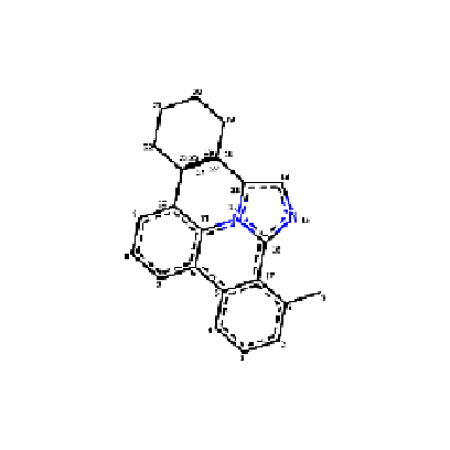 Cc1cccc2c3cccc4c3n3c(cnc3c12)C12CCCCC41CCCC2